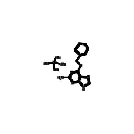 CCCC[N+](CCCC)(CCCC)CCCC.Nc1nc(OCc2ccccc2)c2nc[nH]c2n1